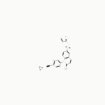 COc1cc(C#C[C@@H]2C[C@@H]2C(F)(F)F)c(F)cc1-n1c(=O)ccc2cc(S(=O)(=O)Nc3ccon3)ccc21